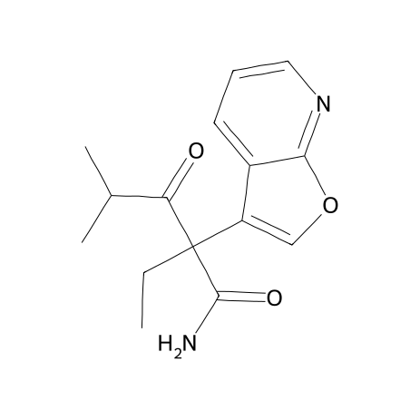 CCC(C(N)=O)(C(=O)C(C)C)c1coc2ncccc12